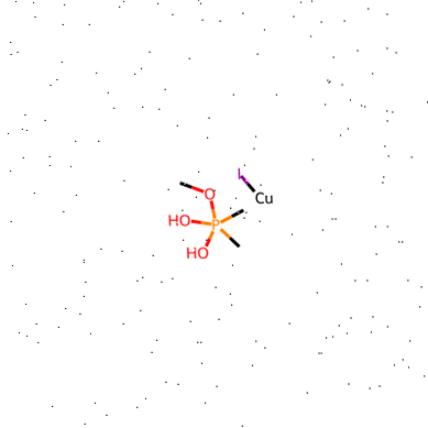 COP(C)(C)(O)O.[Cu][I]